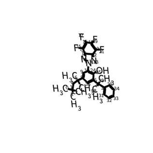 CC(C)(C)CC(C)(C)c1cc(-n2nc3c(F)c(F)c(F)c(F)c3n2)c(O)c(C(C)(C)c2ccccc2)c1